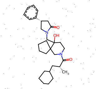 C[C@H](CC1CCCCC1)C(=O)N1CCC(O)(CN2C[C@H](c3ccccc3)CC2=O)C2(CCCC2)C1